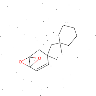 CC1(CC2(C)CCCCC2)C=CC23OC2(C1)O3